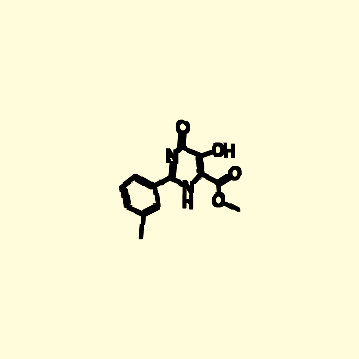 COC(=O)c1[nH]c(-c2cccc(C)c2)nc(=O)c1O